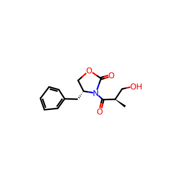 C[C@H](CO)C(=O)N1C(=O)OC[C@H]1Cc1ccccc1